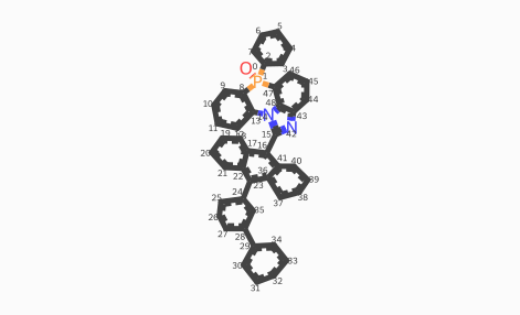 O=P1(c2ccccc2)c2ccccc2-n2c(-c3c4ccccc4c(-c4cccc(-c5ccccc5)c4)c4ccccc34)nc3cccc1c32